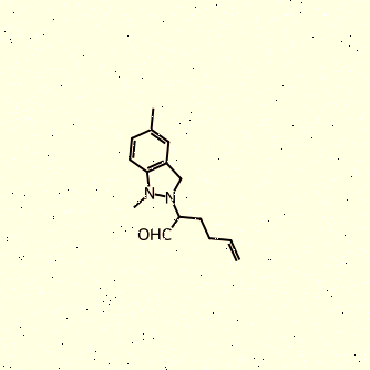 C=CCCC(C=O)N1Cc2cc(C)ccc2N1C